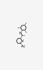 CC(=O)c1cccc(/C(C)=N/c2c(C)cc(C)cc2C)n1